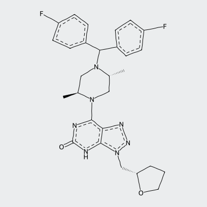 C[C@@H]1CN(c2nc(=O)[nH]c3c2nnn3C[C@@H]2CCCO2)[C@@H](C)CN1C(c1ccc(F)cc1)c1ccc(F)cc1